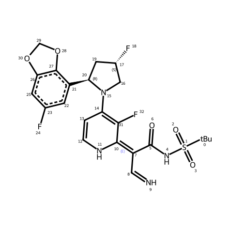 CC(C)(C)S(=O)(=O)NC(=O)/C(C=N)=C1/NC=CC(N2C[C@@H](F)C[C@@H]2c2cc(F)cc3c2OCO3)=C1F